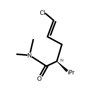 CC(C)[C@H](CC=CCl)C(=O)N(C)C